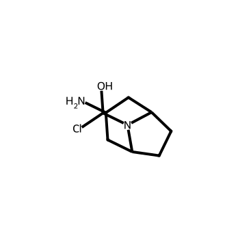 NC1CC2CCC(C1)N2C(O)Cl